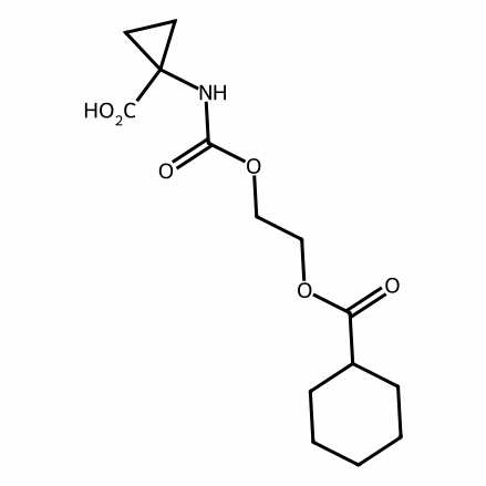 O=C(NC1(C(=O)O)CC1)OCCOC(=O)C1CCCCC1